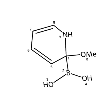 COC1(B(O)O)C=CC=CN1